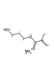 C=C(C)C(=O)OCCCO.N